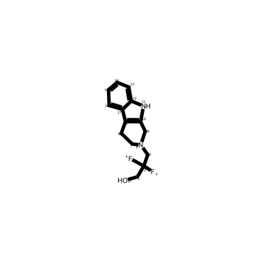 OCC(F)(F)CN1CCc2c([nH]c3ccccc23)C1